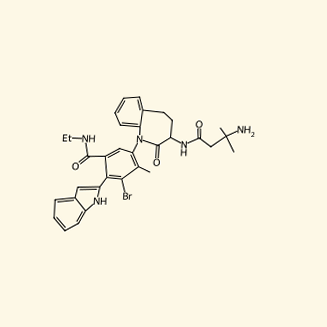 CCNC(=O)c1cc(N2C(=O)C(NC(=O)CC(C)(C)N)CCc3ccccc32)c(C)c(Br)c1-c1cc2ccccc2[nH]1